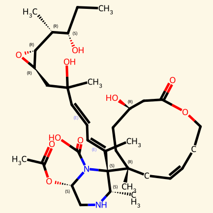 CC[C@H](O)[C@@H](C)[C@H]1O[C@@H]1CC(C)(O)/C=C/C=C(\C)[C@@]1([C@@]2(C)CC=CCCOC(=O)C[C@H](O)CC2)[C@H](C)NC[C@H](OC(C)=O)N1C(=O)O